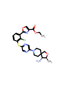 CCOC(=O)c1coc(-c2cccc(Sc3cnc(N4CCC5(CC4)CO[C@@H](C)[C@H]5N)cn3)c2Cl)n1